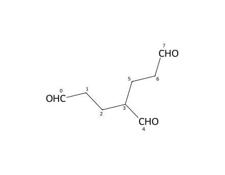 O=CCCC(C=O)CCC=O